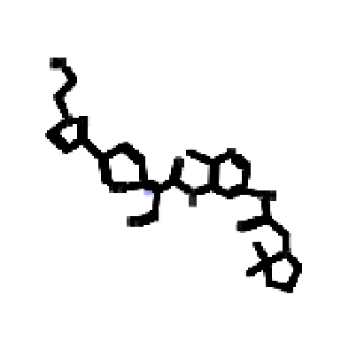 Cc1ncc(NC(=O)CN2CCCC2(C)C)cc1NC(=O)/C(N=N)=C1\C=CC(c2ccn(CCO)n2)=CN1